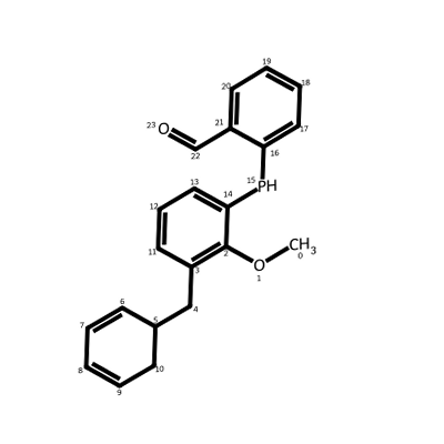 COc1c(CC2C=CC=CC2)cccc1Pc1ccccc1C=O